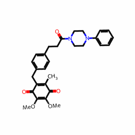 COC1=C(OC)C(=O)C(Cc2ccc(CCC(=O)N3CCN(c4ccccc4)CC3)cc2)=C(C)C1=O